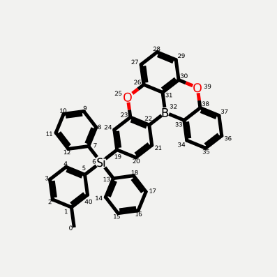 Cc1cccc([Si](c2ccccc2)(c2ccccc2)c2ccc3c(c2)Oc2cccc4c2B3c2ccccc2O4)c1